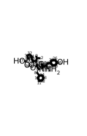 CC(C)[C@H](NC(=O)[C@H](Cc1ccccc1)NC(=O)[C@@H](N)Cc1ccc(O)cc1)C(=O)N1CCC[C@H]1C(=O)O